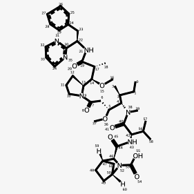 CC[C@H](C)[C@@H]([C@@H](CC(=O)N1CCC[C@H]1[C@H](OC)[C@@H](C)C(=O)N[C@H](Cc1ccccc1)c1ncccn1)OC)N(C)C(=O)[C@@H](NC(=O)[C@@H]1[C@H]2CC[C@H](C2)N1C(=O)O)C(C)C